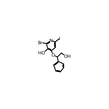 OCC(Oc1cc(I)nc(Br)c1O)c1ccccc1